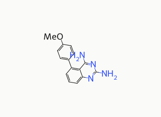 COc1ccc(-c2cccc3nc(N)nc(N)c23)cc1